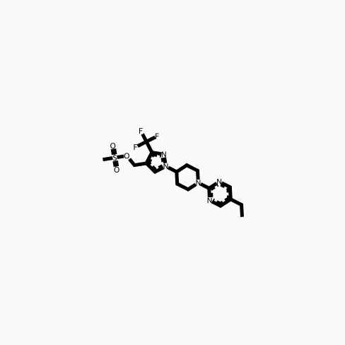 CCc1cnc(N2CCC(n3cc(COS(C)(=O)=O)c(C(F)(F)F)n3)CC2)nc1